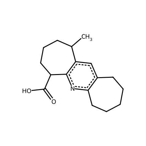 CC1CCCC(C(=O)O)c2nc3c(cc21)CCCCC3